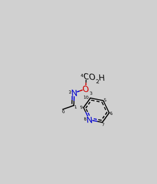 CC=NOC(=O)O.c1ccncc1